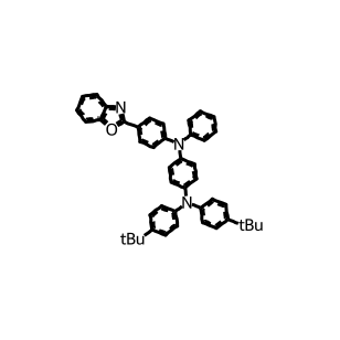 CC(C)(C)c1ccc(N(c2ccc(N(c3ccccc3)c3ccc(-c4nc5ccccc5o4)cc3)cc2)c2ccc(C(C)(C)C)cc2)cc1